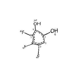 Oc1cc(F)c(F)c(F)c1O